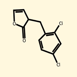 O=C1OC=CC1Cc1ccc(Cl)cc1Cl